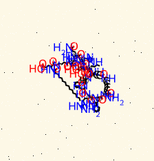 CCCCCCCCCCCCCCCC(=O)NC(CCC(=O)O)C(=O)NCCCC(=O)N[C@H](C(=O)N[C@@H](CCC(N)=O)C(=O)N[C@@H](Cc1c[nH]cn1)C(=O)N[C@@H](CO)C(=O)N[C@@H](CCCC)C(=O)N[C@H]1CCC(=O)NCCCC[C@@H](C(N)=O)NC(=O)[C@H](Cc2c[nH]c3ccccc23)NC(=O)[C@H](CCCNC(=N)N)NC(=O)C(Cc2ccccc2)NC(=O)[C@@H]2CC(O)CN2C1=O)C(C)O